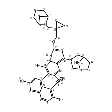 C#Cc1c(F)ccc2cc(O)cc(-c3c(C(C)C)cc4c(N5CC6CCC(C5)N6)nc(OCC5(CN6C7CCCC6C7)CC5)nc4c3F)c12